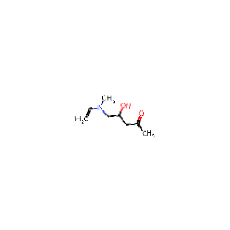 C=CN(C)CC(O)CC(C)=O